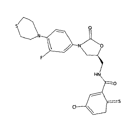 O=C(NC[C@H]1CN(c2ccc(N3CCSCC3)c(F)c2)C(=O)O1)C1=CC(Cl)=CCC1=S